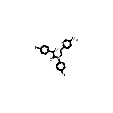 CCc1ccc(N(CCc2ccc(C(F)(F)F)cn2)C(=O)C(O)c2ccc(F)cc2)cc1